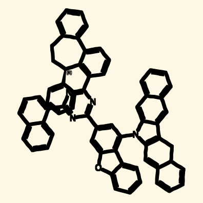 C1=CC2=Cc3c(c4cc5ccccc5cc4n3-c3cc(-c4nc(-c5cccc6c5[C@@H](c5ccccc5)CCc5ccccc5-6)nc(-c5cccc6ccccc56)n4)cc4oc5ccccc5c34)CC2C=C1